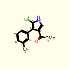 COC(=O)c1c[nH]c(Cl)c1-c1cccc(C#N)c1